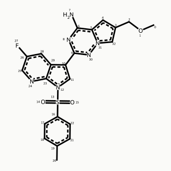 COCc1cc2c(N)nc(-c3cn(S(=O)(=O)c4ccc(C)cc4)c4ncc(F)cc34)nn2c1